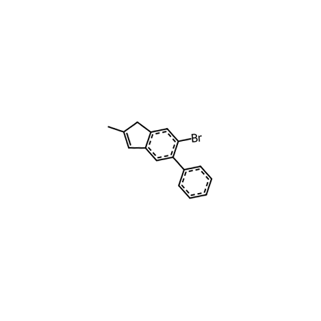 CC1=Cc2cc(-c3ccccc3)c(Br)cc2C1